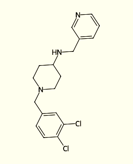 Clc1ccc(CN2CCC(NCc3cccnc3)CC2)cc1Cl